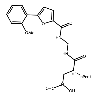 CCCCC[C@H](CN(O)C=O)C(=O)NCNC(=O)c1ccc(-c2ccccc2OC)o1